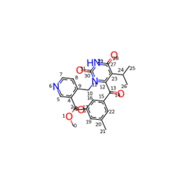 COC(=O)c1cnccc1Cn1c(C(=O)c2cc(C)cc(C)c2)c(C(C)C)c(=O)[nH]c1=O